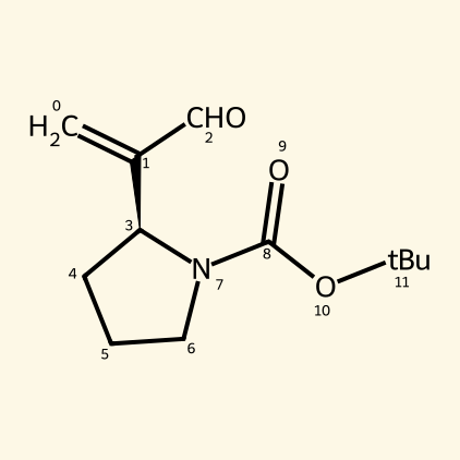 C=C(C=O)[C@@H]1CCCN1C(=O)OC(C)(C)C